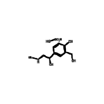 CC(C)(C)NC[C@H](O)c1ccc(O)c(CO)c1.O=S(=O)(O)O